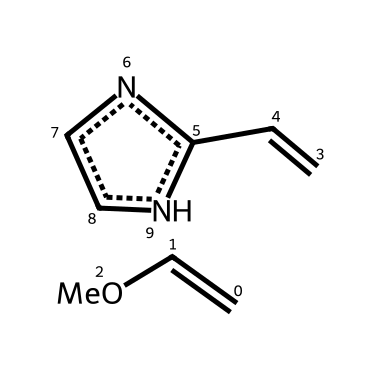 C=COC.C=Cc1ncc[nH]1